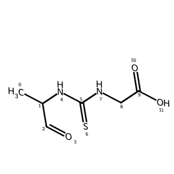 CC(C=O)NC(=S)NCC(=O)O